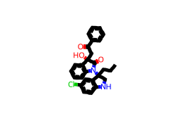 CCCC1(N2C(=O)C(O)(CC(=O)c3ccccc3)c3ccccc32)CNc2ccc(Cl)cc21